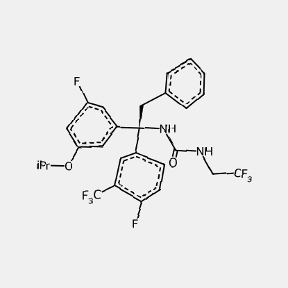 CC(C)Oc1cc(F)cc([C@](Cc2ccccc2)(NC(=O)NCC(F)(F)F)c2ccc(F)c(C(F)(F)F)c2)c1